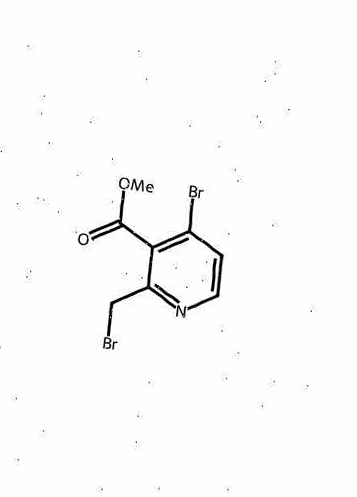 COC(=O)c1c(Br)ccnc1CBr